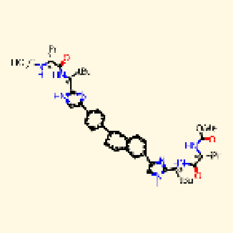 COC(=O)N[C@@H](C(=O)N[C@H](c1nc(-c2ccc3cc(-c4ccc(-c5c[nH]c([C@@H](NC(=O)[C@H](NC(=O)O)C(C)C)C(C)(C)C)n5)cc4)ccc3c2)c[nH]1)C(C)(C)C)C(C)C